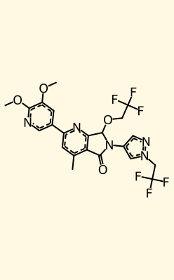 COc1cc(-c2cc(C)c3c(n2)C(OCC(F)(F)F)N(c2cnn(CC(F)(F)F)c2)C3=O)cnc1OC